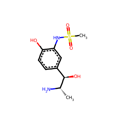 C[C@H](N)[C@H](O)c1ccc(O)c(NS(C)(=O)=O)c1